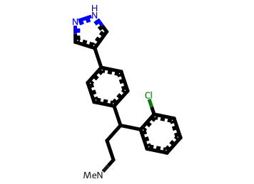 CNCCC(c1ccc(-c2cn[nH]c2)cc1)c1ccccc1Cl